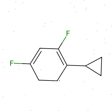 FC1=CC(F)=C(C2CC2)[CH]C1